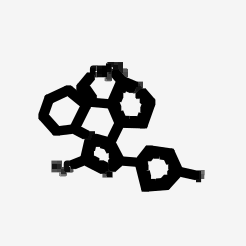 C/C=C\c1c(-c2c(-c3ccc(F)cc3)nc(C)n2C2CCCCC2)ccnc1C